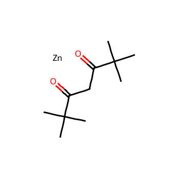 CC(C)(C)C(=O)CC(=O)C(C)(C)C.[Zn]